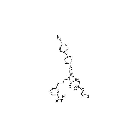 COC(=O)C[C@@H]1C[C@@H](COc2ccc(-c3ccc(C#N)cc3)cc2)N(CCCc2cccc(C(F)(F)F)c2)C1=O